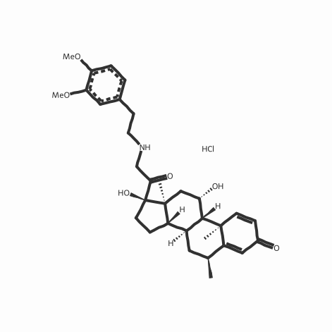 COc1ccc(CCNCC(=O)[C@@]2(O)CC[C@H]3[C@@H]4C[C@H](C)C5=CC(=O)C=C[C@]5(C)[C@H]4[C@@H](O)C[C@@]32C)cc1OC.Cl